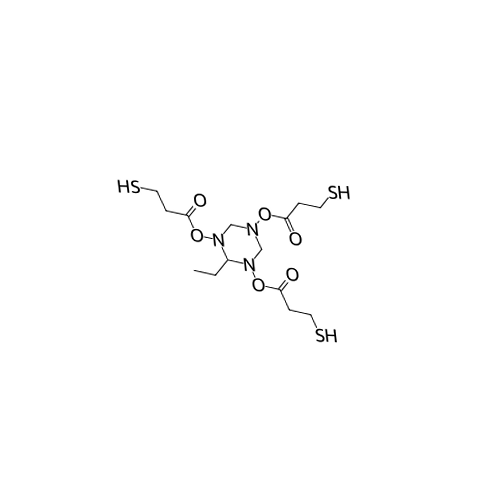 CCC1N(OC(=O)CCS)CN(OC(=O)CCS)CN1OC(=O)CCS